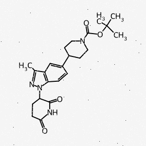 Cc1nn(C2CCC(=O)NC2=O)c2ccc(C3CCN(C(=O)OC(C)(C)C)CC3)cc12